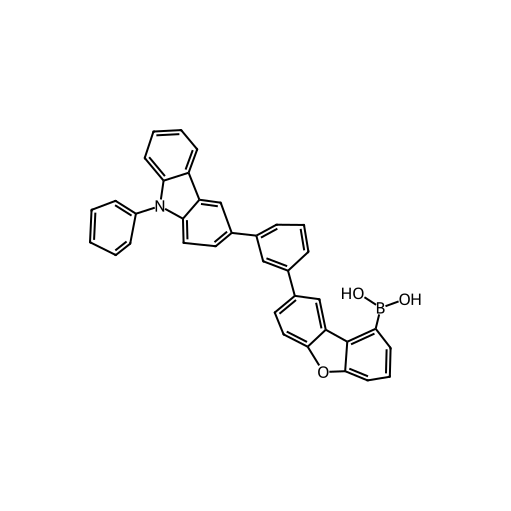 OB(O)c1cccc2oc3ccc(-c4cccc(-c5ccc6c(c5)c5ccccc5n6-c5ccccc5)c4)cc3c12